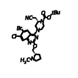 CN1CCC[C@H]1COc1nc(N2CCN(C(=O)OC(C)(C)C)[C@@H](CC#N)C2)c2cc(Br)c(Cl)cc2n1